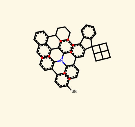 CC(C)(C)c1ccc(-c2ccccc2N(c2ccccc2-c2ccc3c(c2)C2(c4ccccc4-3)C3CC4CC5CC2C453)c2ccccc2-c2cccc3cccc(C4CCCCC4)c23)cc1